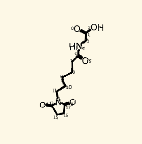 O=C(O)CNC(=O)CCCCCN1C(=O)CCC1=O